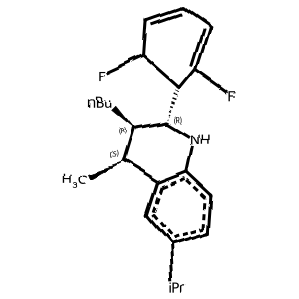 CCCC[C@@H]1[C@H](C)c2cc(C(C)C)ccc2N[C@H]1C1C(F)=CC=CC1F